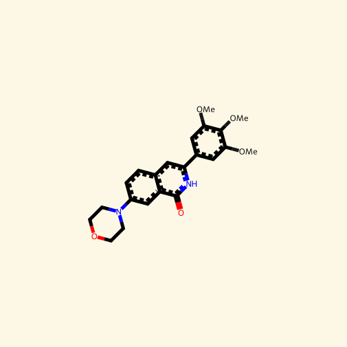 COc1cc(-c2cc3ccc(N4CCOCC4)cc3c(=O)[nH]2)cc(OC)c1OC